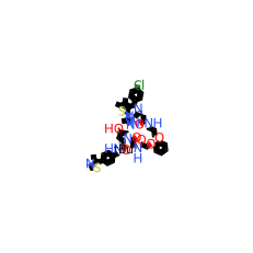 Cc1ncsc1-c1ccc(CNC(=O)[C@@H]2C[C@@H](O)CN2C(=O)[C@@H](NC(=O)COc2ccccc2OCCCNC(=O)C[C@@H]2N=C(c3ccc(Cl)cc3)c3c(sc(C)c3C)-n3c(C)nnc32)C(C)(C)C)cc1